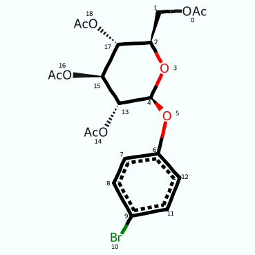 CC(=O)OC[C@H]1O[C@@H](Oc2ccc(Br)cc2)[C@H](OC(C)=O)[C@@H](OC(C)=O)[C@@H]1OC(C)=O